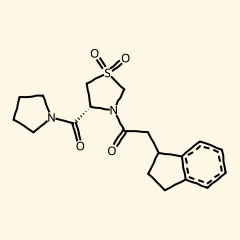 O=C([C@@H]1CS(=O)(=O)CN1C(=O)CC1CCc2ccccc21)N1CCCC1